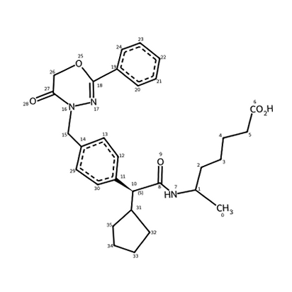 CC(CCCCC(=O)O)NC(=O)[C@H](c1ccc(CN2N=C(c3ccccc3)OCC2=O)cc1)C1CCCC1